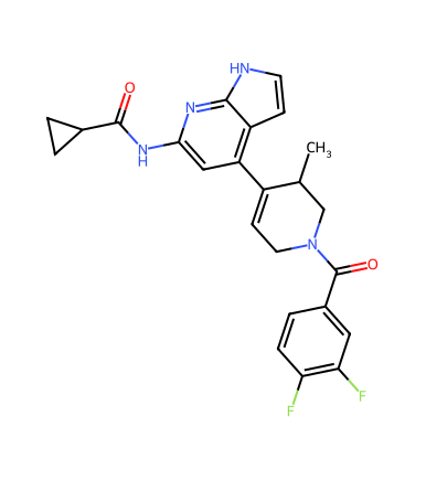 CC1CN(C(=O)c2ccc(F)c(F)c2)CC=C1c1cc(NC(=O)C2CC2)nc2[nH]ccc12